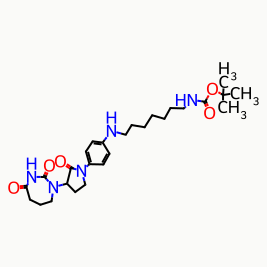 CC(C)(C)OC(=O)NCCCCCCCNc1ccc(N2CCC(N3CCCC(=O)NC3=O)C2=O)cc1